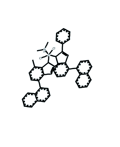 CC1=Cc2c(-c3cccc4ccccc34)ccc(C)c2[CH]1[Zr]([Cl])([Cl])([CH]1C(c2ccccc2)=Cc2c(-c3cccc4ccccc34)cccc21)[SiH](C)C